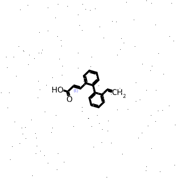 C=Cc1ccccc1-c1ccccc1/C=C/C(=O)O